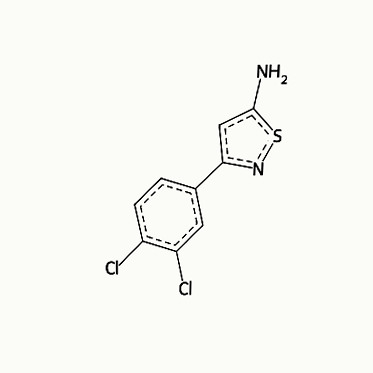 Nc1cc(-c2ccc(Cl)c(Cl)c2)ns1